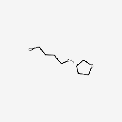 C1CCOC1.CCCCCCl